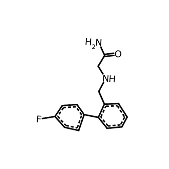 NC(=O)CNCc1ccccc1-c1ccc(F)cc1